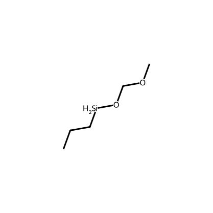 CCC[SiH2]OCOC